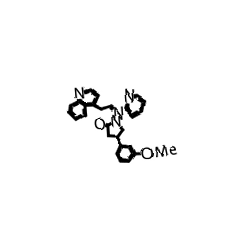 COc1cccc(C2CC(=O)N([N+](=CCc3ccnc4ccccc34)c3ccccn3)C2)c1